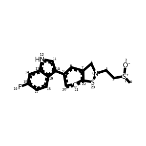 C[S+]([O-])CCN1Cc2cc(-c3c[nH]c4cc(F)ccc34)ccc2S1